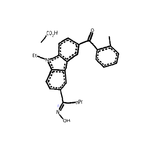 CC(=O)O.CCC/C(=N\O)c1ccc2c(c1)c1cc(C(=O)c3ccccc3C)ccc1n2CC